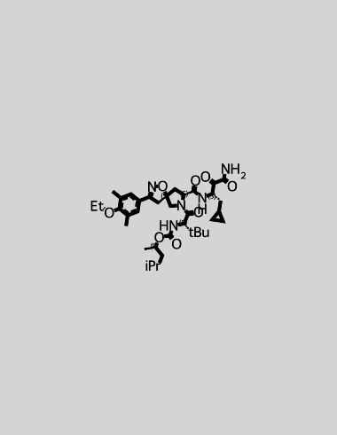 CCOc1c(C)cc(C2=NO[C@]3(C2)C[C@@H](C(=O)N[C@@H](CC2CC2)C(=O)C(N)=O)N(C(=O)[C@@H](NC(=O)O[C@H](C)CC(C)C)C(C)(C)C)C3)cc1C